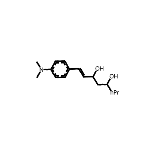 CCCC(O)CC(O)/C=C/c1ccc(N(C)C)cc1